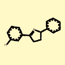 Clc1cccc(C2=NC(c3ccccc3)CC2)c1